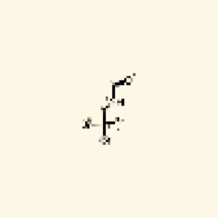 O=[C]NCC(Br)(Br)Br